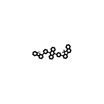 CC1(C)c2c(-c3ccc(-c4c5ccccc5c(-c5cccc(-c6cccc7c6oc6ccccc67)c5)c5ccccc45)cc3)cccc2-c2ccc3ccccc3c21